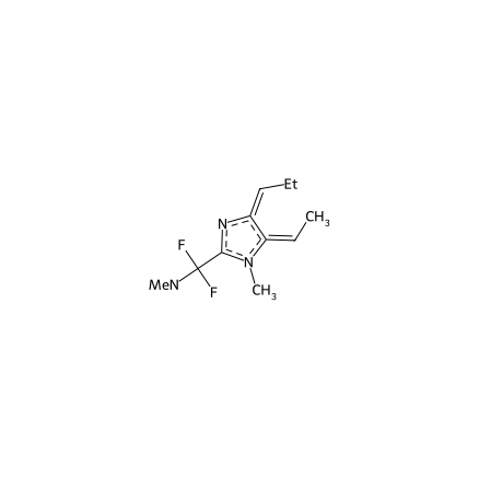 C/C=c1\c(=C/CC)nc(C(F)(F)NC)n1C